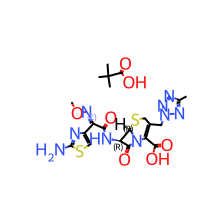 CC(C)(C)C(=O)O.CO/N=C(/C(=O)N[C@@H]1C(=O)N2C(C(=O)O)=C(Cn3nnc(C)n3)CS[C@H]12)c1csc(N)n1